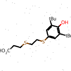 CC(C)(C)c1cc(SCCSCCC(=O)O)cc(C(C)(C)C)c1O